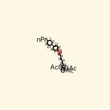 CCC[C@H]1CC[C@H](c2ccc(OCCCCCC[Si](OC(C)=O)(OC(C)=O)OC(C)=O)cc2)CC1